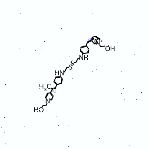 C/C(=C\c1ccc(NCCSSCCNc2ccc(/C=C3\C[N+]4(CCO)C=CC3=CC4)cc2)cc1)c1cc[n+](CCO)cc1